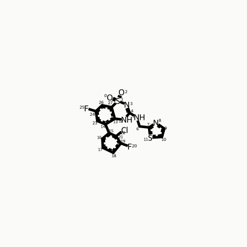 O=S1(=O)N=C(NCc2nccs2)Nc2c(-c3cccc(F)c3Cl)cc(F)cc21